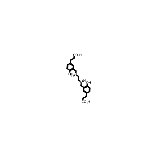 [2H]N(CCN([2H])Cc1cc(CCC(=O)O)ccc1O)Cc1cc(CCC(=O)O)ccc1O